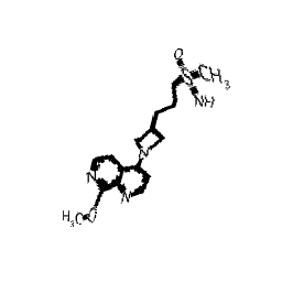 COc1nccc2c(N3CC(CCCS(C)(=N)=O)C3)ccnc12